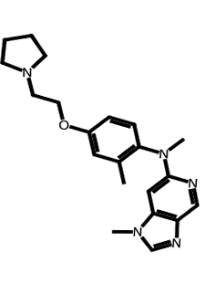 Cc1cc(OCCN2CCCC2)ccc1N(C)c1cc2c(cn1)ncn2C